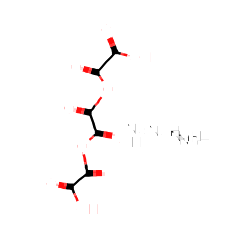 O=C(O)C(=O)OC(=O)C(=O)OC(=O)C(=O)O.[NaH].[NaH].[NaH].[NaH]